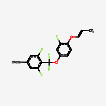 CCCCCc1cc(F)c(C(F)(F)Oc2ccc(O/C=C/C(F)(F)F)c(F)c2)c(F)c1